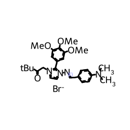 COc1cc(-c2n(/N=C/c3ccc(N(C)C)cc3)cc[n+]2CC(=O)C(C)(C)C)cc(OC)c1OC.[Br-]